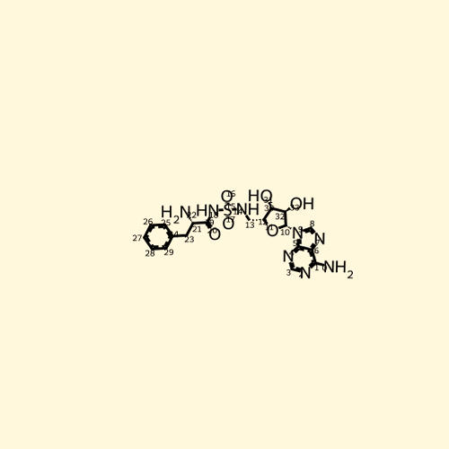 Nc1ncnc2c1ncn2[C@@H]1O[C@H](CNS(=O)(=O)NC(=O)[C@@H](N)Cc2ccccc2)[C@@H](O)[C@H]1O